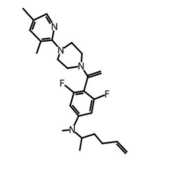 C=CCCC(C)N(C)c1cc(F)c(C(=C)N2CCN(c3ncc(C)cc3C)CC2)c(F)c1